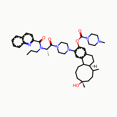 CCCN(C(=O)c1ccc2ccccc2n1)[C@@H](C)C(=O)N1CCN(c2cc3c(cc2OC(=O)N2CCN(C)CC2)CC[C@H]2C(C)CC[C@](C)(O)CCCC32)CC1